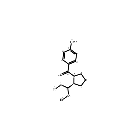 CCOC(OCC)[C@@H]1CCCN1C(=O)c1ccc(OC)cc1